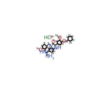 COc1ccc(CNC(=O)[C@H](Nc2ccc(C(=N)N)cc2)c2ccc(OCc3ccccc3)c(OC)c2)cc1.Cl